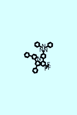 FC(F)(F)c1cccc(-c2ccc(-c3nc(-c4ccccc4)nc(-c4ccccc4)n3)cc2-n2c3ccc(-c4ccccc4)cc3c3cc(-c4ccccc4)ccc32)c1